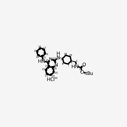 CC(C)(C)OC(=O)NC[C@H]1CC[C@H](Nc2nc(Nc3ccccc3)c3ccccc3n2)CC1.Cl